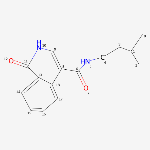 CC(C)CCNC(=O)c1c[nH]c(=O)c2ccccc12